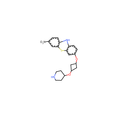 O=[N+]([O-])c1ccc2c(c1)Sc1cc(OC3CC(OC4CCNCC4)C3)ccc1N2